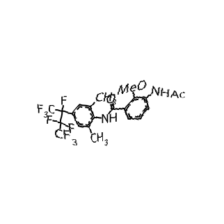 COc1c(NC(C)=O)cccc1C(=O)Nc1c(C)cc(C(F)(C(F)(F)F)C(F)(F)C(F)(F)F)cc1C